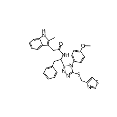 COc1ccc(-n2c(SCc3cscn3)nnc2C(Cc2ccccc2)NC(=O)Cc2c(C)[nH]c3ccccc23)cc1